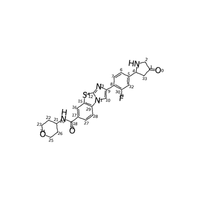 O=C1CNC(c2ccc(-c3cn4c(n3)sc3cc(C(=O)NC5CCOCC5)ccc34)c(F)c2)C1